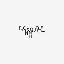 O=C(Cc1coc2c(F)c(F)ccc12)Nc1ncc(C(F)(F)F)s1